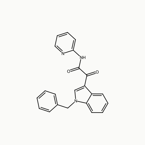 O=C(Nc1ccccn1)C(=O)c1cn(Cc2ccccc2)c2ccccc12